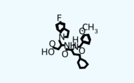 COc1cccc(C(=O)NC(CCC2CCCCC2)C(=O)NC(CC(=O)O)CN2CCc3cc(F)ccc32)c1